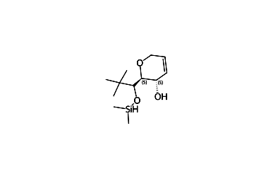 C[SiH](C)OC([C@H]1OCC=C[C@@H]1O)C(C)(C)C